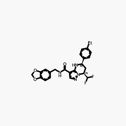 CCc1ccc([C@H]2C[C@@H](C(F)F)n3ncc(C(=O)NCc4ccc5c(c4)OCO5)c3N2)cc1